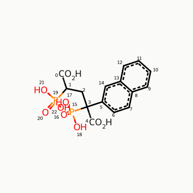 O=C(O)C(CC(C(=O)O)(c1ccc2ccccc2c1)P(=O)(O)O)P(=O)(O)O